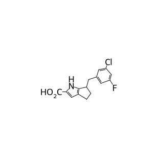 O=C(O)c1cc2c([nH]1)C(Cc1cc(F)cc(Cl)c1)CC2